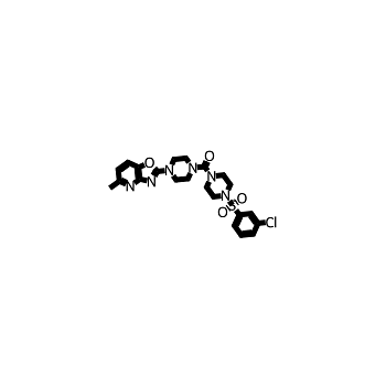 Cc1ccc2oc(N3CCN(C(=O)N4CCN(S(=O)(=O)c5cccc(Cl)c5)CC4)CC3)nc2n1